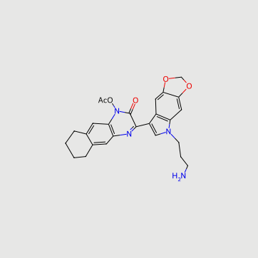 CC(=O)On1c(=O)c(-c2cn(CCCN)c3cc4c(cc23)OCO4)nc2cc3c(cc21)CCCC3